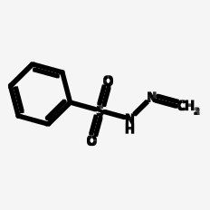 C=NNS(=O)(=O)c1ccccc1